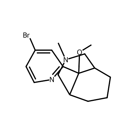 COC1(c2cc(Br)ccn2)C2CCCC1CN(C)C2